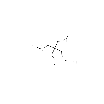 O=C(O)NCC(CNC(=O)O)(CNC(=O)O)CNC(=O)O